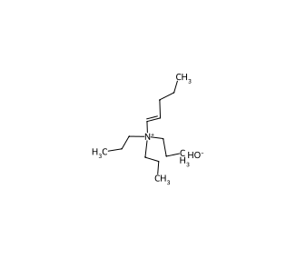 CCCC=C[N+](CCC)(CCC)CCC.[OH-]